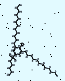 CCCCCCCCCCCCc1cc(C(C)(C)CCCCC)cc(CCCCCCCCCCCC)c1[O]